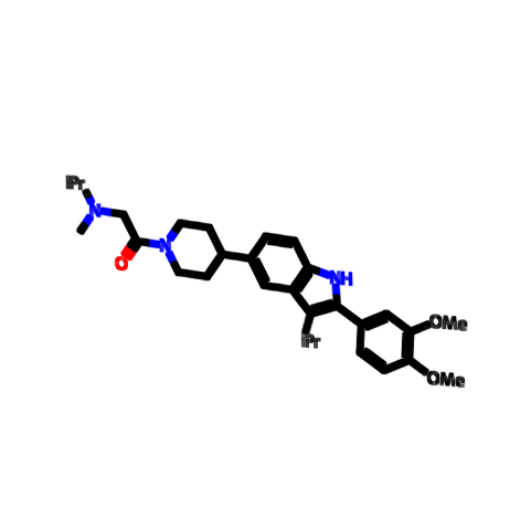 COc1ccc(-c2[nH]c3ccc(C4CCN(C(=O)CN(C)C(C)C)CC4)cc3c2C(C)C)cc1OC